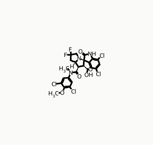 COc1c(Cl)cc(N(C)C(=O)[C@H]2[C@H]3CC(F)(F)CN3[C@]3(C(=O)Nc4c(Cl)cc(Cl)cc43)[C@H]2C(=O)O)cc1Cl